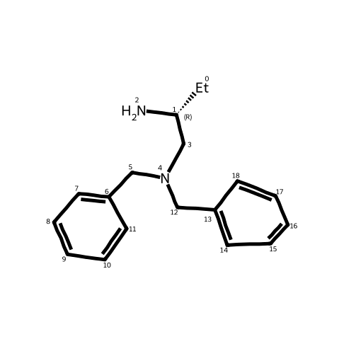 CC[C@@H](N)CN(Cc1ccccc1)Cc1ccccc1